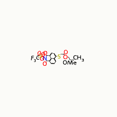 COC(C)CCOC(=O)CSc1ccc2c3c(cccc13)C(=O)N(OS(=O)(=O)C(F)(F)F)C2=O